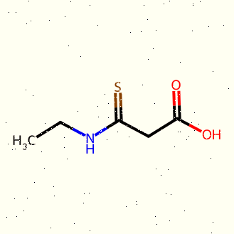 CCNC(=S)CC(=O)O